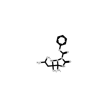 CC(C)CC1(C)NN2N(C(=O)Oc3ccccc3)C(=O)NC21C